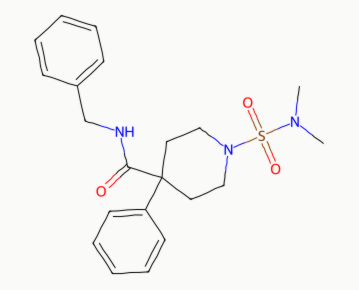 CN(C)S(=O)(=O)N1CCC(C(=O)NCc2ccccc2)(c2ccccc2)CC1